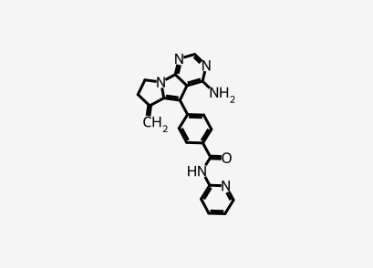 C=C1CCn2c1c(-c1ccc(C(=O)Nc3ccccn3)cc1)c1c(N)ncnc12